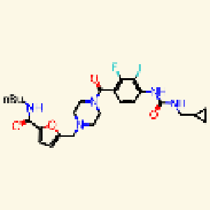 CCCCNC(=O)c1ccc(CN2CCN(C(=O)c3ccc(NC(=O)NCC4CC4)c(F)c3F)CC2)o1